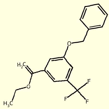 C=C(OCC)c1cc(OCc2ccccc2)cc(C(F)(F)F)c1